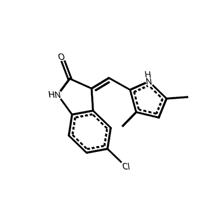 Cc1cc(C)c(C=C2C(=O)Nc3ccc(Cl)cc32)[nH]1